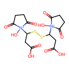 O=C(O)CC(SSC(CC(=O)O)[N+]1(O)C(=O)CCC1=O)[N+]1(O)C(=O)CCC1=O